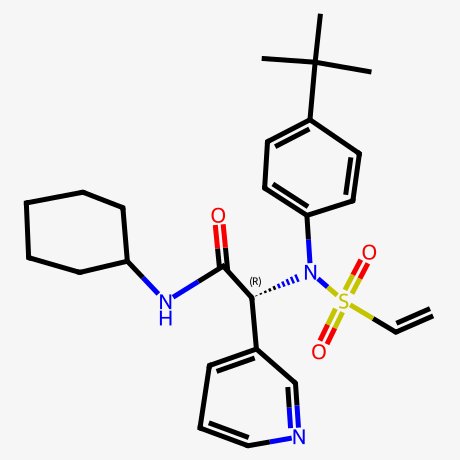 C=CS(=O)(=O)N(c1ccc(C(C)(C)C)cc1)[C@@H](C(=O)NC1CCCCC1)c1cccnc1